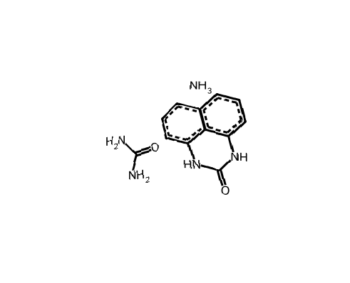 N.NC(N)=O.O=C1Nc2cccc3cccc(c23)N1